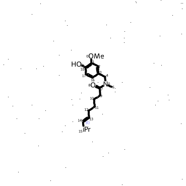 COc1cc(CN(C)C(=O)CCCC/C=C/C(C)C)ccc1O